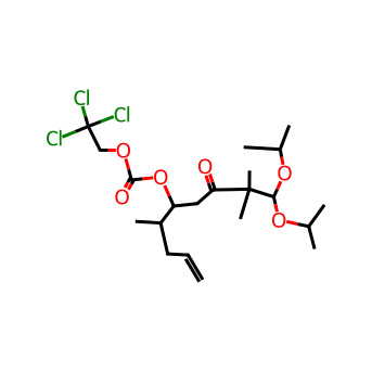 C=CCC(C)C(CC(=O)C(C)(C)C(OC(C)C)OC(C)C)OC(=O)OCC(Cl)(Cl)Cl